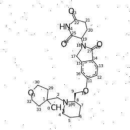 CC1(CN2CCCC[C@@H]2COc2ccc3c(c2)CN(C2CCC(=O)NC2=O)C3=O)CCOCC1